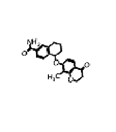 Cc1c(O[C@@H]2CCCc3cc(C(N)=O)ccc32)ccc2c1OCCC2=O